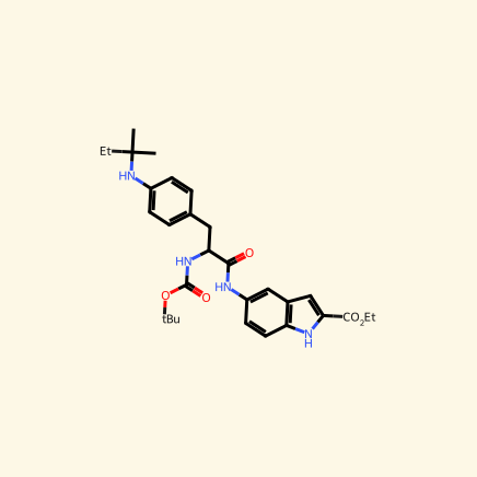 CCOC(=O)c1cc2cc(NC(=O)C(Cc3ccc(NC(C)(C)CC)cc3)NC(=O)OC(C)(C)C)ccc2[nH]1